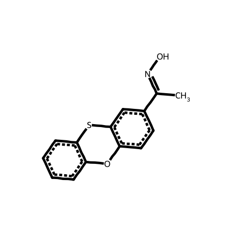 CC(=NO)c1ccc2c(c1)Sc1ccccc1O2